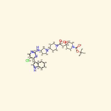 CC(C)(C)OC(=O)N1CCC(O)(CC(=O)N2CCC(N3CC[C@@H](Nc4ncc(Cl)c(-c5c[nH]c6ccccc56)n4)C3)CC2)CC1